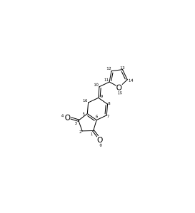 O=C1CC(=O)C2=C1C=CC(=Cc1ccco1)C2